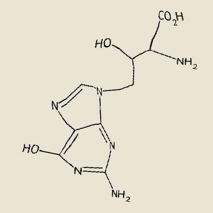 Nc1nc(O)c2ncn(CC(O)C(N)C(=O)O)c2n1